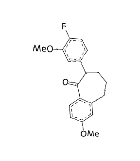 COc1ccc2c(c1)CCCC(c1ccc(F)c(OC)c1)C2=O